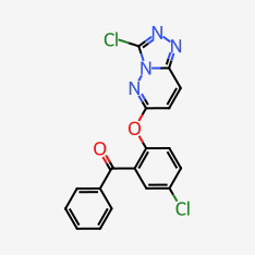 O=C(c1ccccc1)c1cc(Cl)ccc1Oc1ccc2nnc(Cl)n2n1